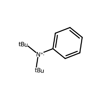 CC(C)(C)[N+](c1ccccc1)C(C)(C)C